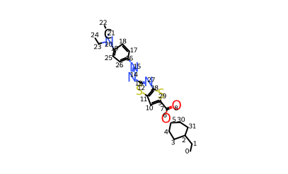 CCC1CCC(OC(=O)c2cc3sc(N=Nc4ccc(N(CC)CC)cc4)nc3s2)CC1